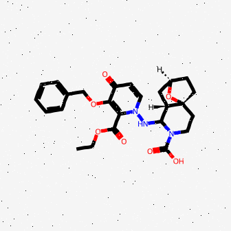 CCOC(=O)c1c(OCc2ccccc2)c(=O)ccn1NC1[C@@H]2C[C@H]3CC[C@]2(CCN1C(=O)O)O3